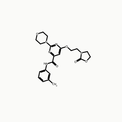 Cc1cccc(NC(=O)c2cc(OCCN3CCOC3=O)nc(N3CCOCC3)n2)c1